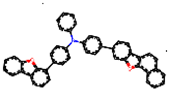 c1ccc(N(c2ccc(-c3ccc4c(c3)oc3c5ccccc5ccc43)cc2)c2ccc(-c3cccc4c3oc3ccccc34)cc2)cc1